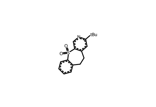 CC(C)(C)c1cc2c(cn1)S(=O)(=O)c1ccccc1CC2